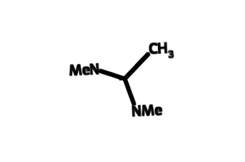 CN[C](C)NC